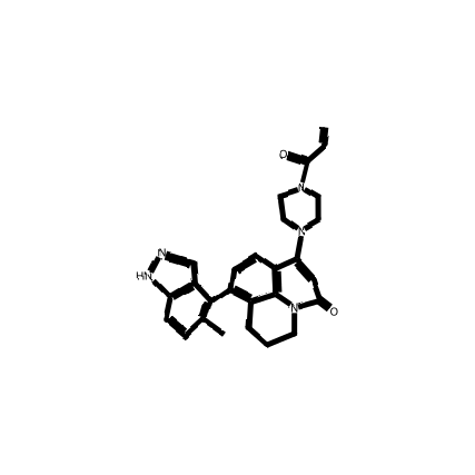 C=CC(=O)N1CCN(c2cc(=O)n3c4c(c(-c5c(C)ccc6[nH]ncc56)ccc24)CCC3)CC1